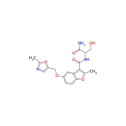 Cc1ncc(COc2ccc3oc(C)c(C(=O)NC(CO)C(N)=O)c3c2)o1